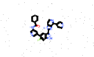 O=C(Nc1cncc(-c2cc3c(-c4nc5c(-c6ccncc6)nccc5[nH]4)n[nH]c3cc2F)c1)C1CCCCC1